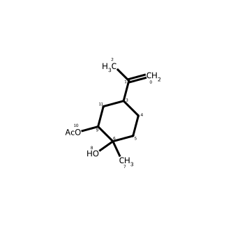 C=C(C)C1CCC(C)(O)C(OC(C)=O)C1